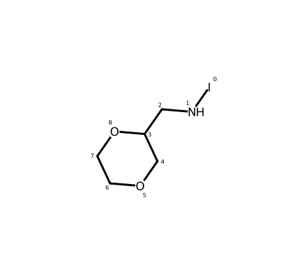 INCC1COCCO1